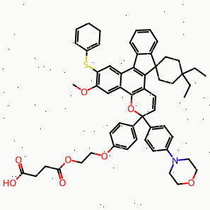 CCC1(CC)CCC2(CC1)c1ccccc1-c1c2c2c(c3cc(OC)c(SC4=CCCC=C4)cc13)OC(c1ccc(OCCOC(=O)CCC(=O)O)cc1)(c1ccc(N3CCOCC3)cc1)C=C2